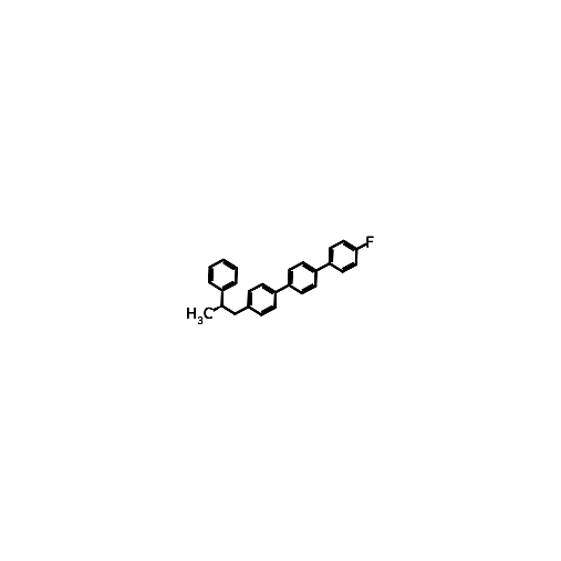 C[C@H](Cc1ccc(-c2ccc(-c3ccc(F)cc3)cc2)cc1)c1ccccc1